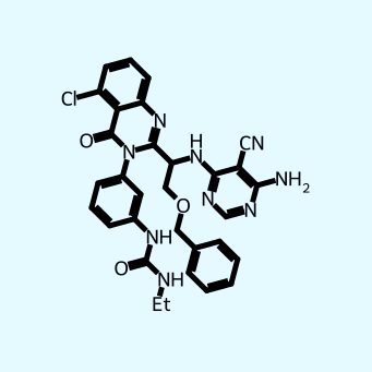 CCNC(=O)Nc1cccc(-n2c(C(COCc3ccccc3)Nc3ncnc(N)c3C#N)nc3cccc(Cl)c3c2=O)c1